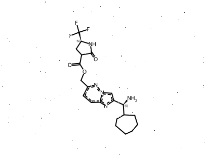 N[C@H](c1cn2nc(COC(=O)C3C[C@@H](C(F)(F)F)NC3=O)ccc2n1)C1CCCCCC1